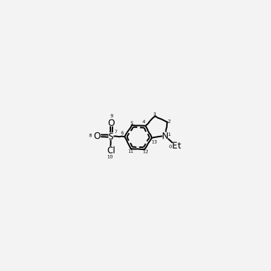 CCN1CCc2cc(S(=O)(=O)Cl)ccc21